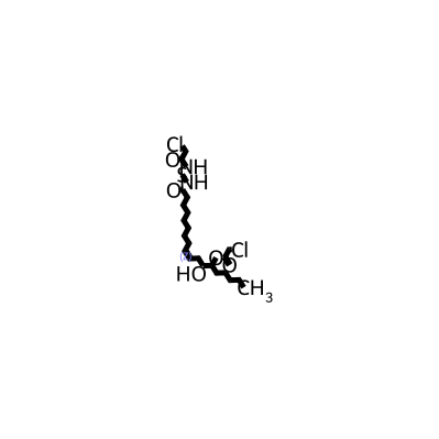 CCCCCC(OC(=O)CCl)C(O)C/C=C\CCCCCCCC(=O)NSNC(=O)CCl